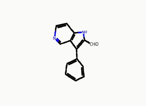 O=Cc1[nH]c2ccncc2c1-c1ccccc1